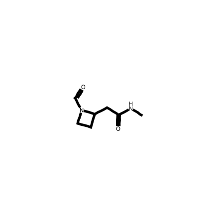 CNC(=O)CC1CCN1[C]=O